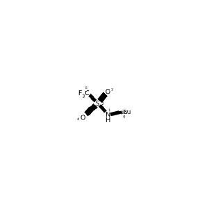 CCC(C)NS(=O)(=O)C(F)(F)F